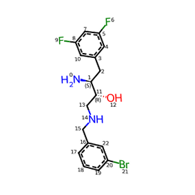 N[C@@H](Cc1cc(F)cc(F)c1)[C@H](O)CNCc1cccc(Br)c1